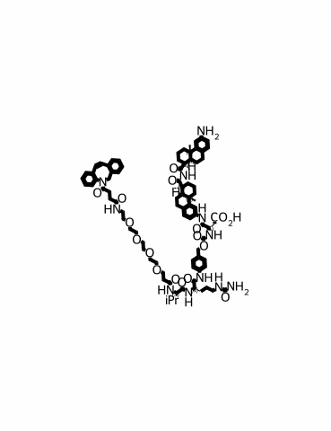 CC(C)[C@H](NC(=O)CCOCCOCCOCCOCCNC(=O)CCC(=O)N1Cc2ccccc2C#Cc2ccccc21)C(=O)N[C@@H](CCCNC(N)=O)C(=O)Nc1ccc(COC(=O)N[C@@H](CC(=O)O)C(=O)Nc2ccc3c(c2)[C@@]2(C)CCC[C@](C)(C(=O)NC(=O)[C@@]4(C)CCC[C@]5(C)c6cc(N)ccc6CC[C@@H]45)[C@@H]2CC3)cc1